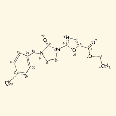 CCOC(=O)c1cnc(N2CCN(Cc3ccc(Cl)cc3)C2=O)o1